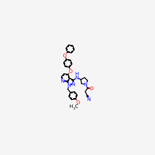 COc1ccc(Cn2nc(NC3CCN(C(=O)CC#N)C3)c3c(Oc4ccc(Oc5ccccc5)cc4)ccnc32)cc1